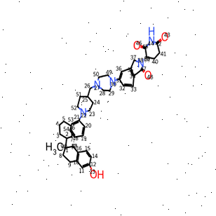 C[C@@]1(C2CCCCC2)CCc2cc(O)ccc2[C@H]1c1ccc(N2CCC(CN3CCN(c4ccc5c(c4)CN([C@H]4CCC(=O)NC4=O)C5=O)CC3)CC2)cc1